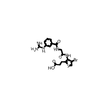 N=C(N)Nc1cccc(C(=O)NCC(=O)Nc2c(Br)csc2CCC(=O)O)c1